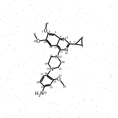 COc1cc2nc(C3CC3)nc(N3CCN(c4ccc(N)cc4OC)CC3)c2cc1OC